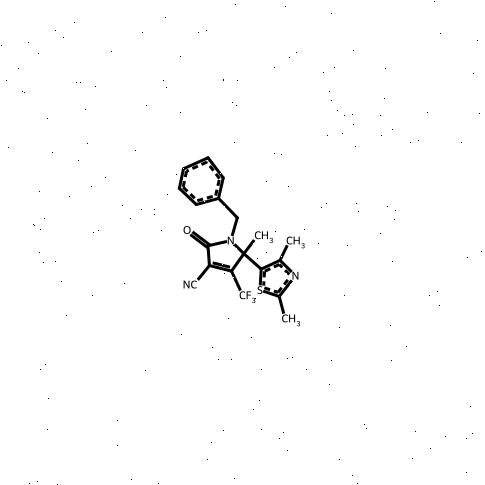 Cc1nc(C)c(C2(C)C(C(F)(F)F)=C(C#N)C(=O)N2Cc2ccccc2)s1